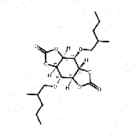 CCCC(C)CO[C@@H]1[C@H]2OC(=O)O[C@H]2[C@@H](OCC(C)CCC)[C@@H]2OC(=O)O[C@@H]12